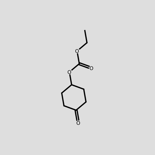 CCOC(=O)OC1CCC(=O)CC1